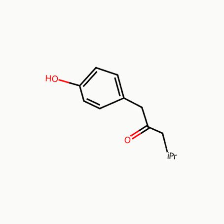 CC(C)CC(=O)Cc1ccc(O)cc1